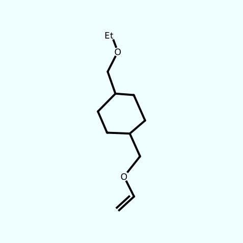 C=COCC1CCC(COCC)CC1